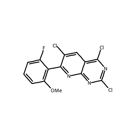 COc1cccc(F)c1-c1nc2nc(Cl)nc(Cl)c2cc1Cl